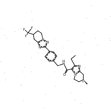 CCc1nc2n(c1C(=O)NCc1ccc(-c3nc4n(n3)CCC(C(F)(F)F)C4)cc1)CC[C@H](C)C2